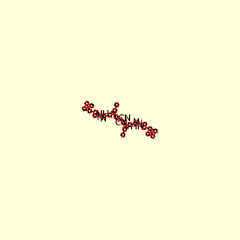 N#C/C(=C(/C#N)c1ccc(N(c2ccc(-c3ccccc3)cc2)c2ccc(-c3ccc(/N=C4\Nc5ccc(-c6ccc7c(c6)C(c6ccccc6)(c6ccccc6)c6ccccc6-7)c6cccc4c56)nc3)cc2)cc1)c1ccc(N(c2ccc(-c3ccccc3)cc2)c2ccc(-c3ccc(/N=C4\Nc5ccc(-c6ccc7c(c6)C(c6ccccc6)(c6ccccc6)c6ccccc6-7)c6cccc4c56)nc3)cc2)cc1